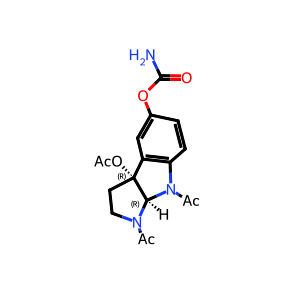 CC(=O)O[C@@]12CCN(C(C)=O)[C@@H]1N(C(C)=O)c1ccc(OC(N)=O)cc12